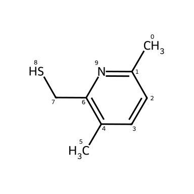 Cc1ccc(C)c(CS)n1